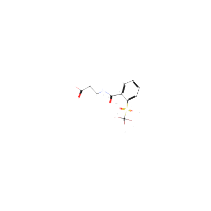 O=C(O)CCNC(=O)c1ccccc1S(=O)(=O)C(Br)(Br)Br